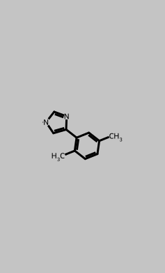 Cc1ccc(C)c(C2=C[N]C=N2)c1